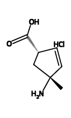 C[C@]1(N)C=C[C@@H](C(=O)O)C1.Cl